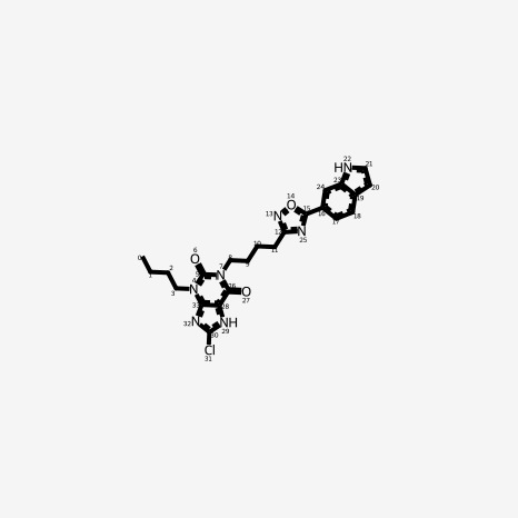 CCCCn1c(=O)n(CCCCc2noc(-c3ccc4cc[nH]c4c3)n2)c(=O)c2[nH]c(Cl)nc21